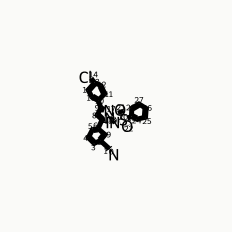 N#Cc1cccc(-c2cc(-c3ccc(Cl)cc3)nn2NS(=O)(=O)c2ccccc2)c1